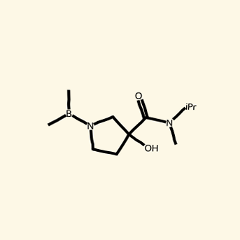 CB(C)N1CCC(O)(C(=O)N(C)C(C)C)C1